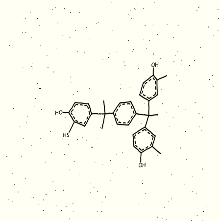 Cc1cc(C(C)(c2ccc(C(C)(C)c3ccc(O)c(S)c3)cc2)c2ccc(O)c(C)c2)ccc1O